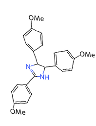 COc1ccc(C2=NC(c3ccc(OC)cc3)C(c3ccc(OC)cc3)N2)cc1